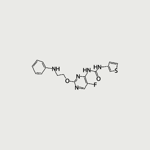 O=C(Nc1ccsc1)Nc1nc(OCCNc2ccccc2)ncc1F